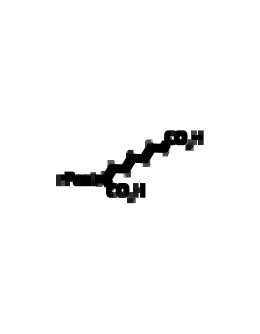 CCCCCC(CCCCCCC(=O)O)C(=O)O